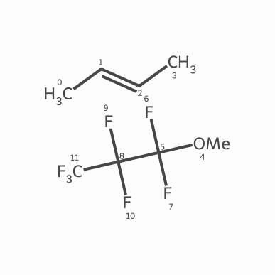 CC=CC.COC(F)(F)C(F)(F)C(F)(F)F